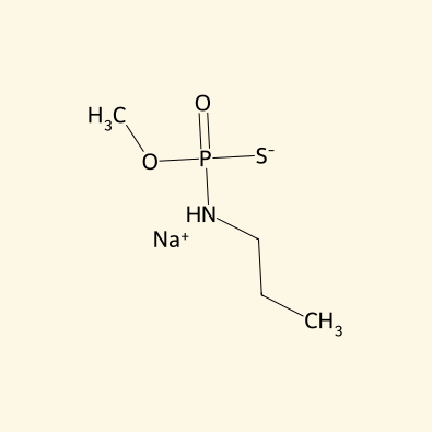 CCCNP(=O)([S-])OC.[Na+]